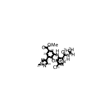 [2H]C([2H])([2H])NC(=O)c1nnc(Cl)cc1Nc1cc(C(=O)OC)cc(-c2cnn(C)n2)c1OC